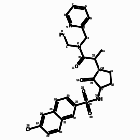 CC(C)CN(Cc1ccccn1)C(=O)C(C)N1CCC(NS(=O)(=O)c2ccc3cc(Cl)ccc3c2)C1=O